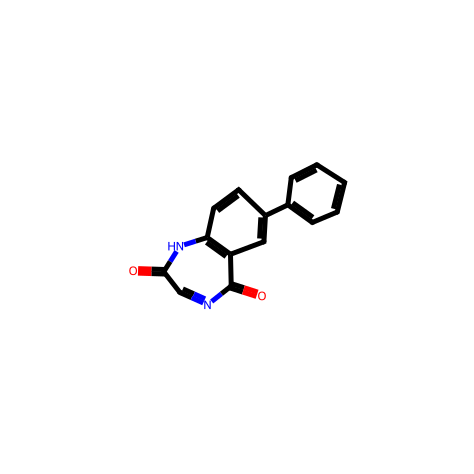 O=c1cnc(=O)c2cc(-c3ccccc3)ccc2[nH]1